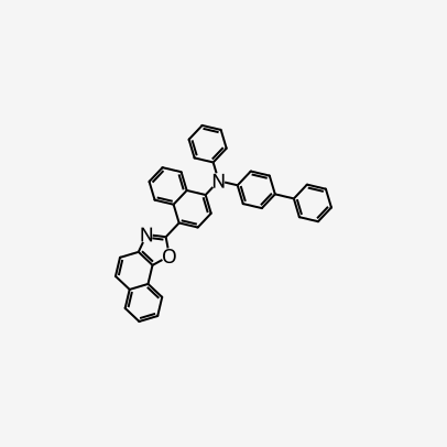 c1ccc(-c2ccc(N(c3ccccc3)c3ccc(-c4nc5ccc6ccccc6c5o4)c4ccccc34)cc2)cc1